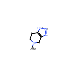 CC(C)(C)N1CCc2[nH]nnc2C1